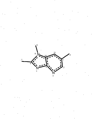 Cc1cnc2nc(C)n(C)c2c1